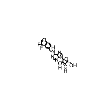 OC[C@H]1O[C@@H](n2cnc3c(NCc4ccc(Cl)c(C(F)(F)F)c4)ncnc32)[C@@H](O)[C@@H]1O